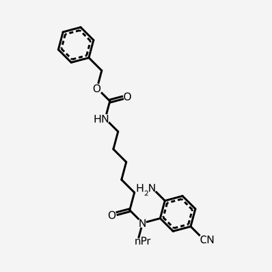 CCCN(C(=O)CCCCCNC(=O)OCc1ccccc1)c1cc(C#N)ccc1N